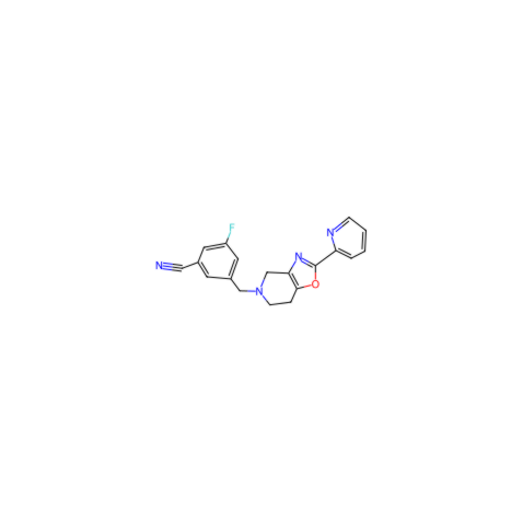 N#Cc1cc(F)cc(CN2CCc3oc(-c4ccccn4)nc3C2)c1